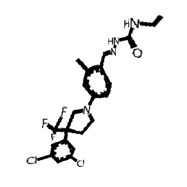 CCNC(=O)NN=Cc1ccc(N2CCC(c3cc(Cl)cc(Cl)c3)(C(F)(F)F)C2)cc1C